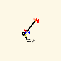 O=C(O)CCCSc1ccccc1NC(=O)CCCCCCCCCCP(=O)(O)O